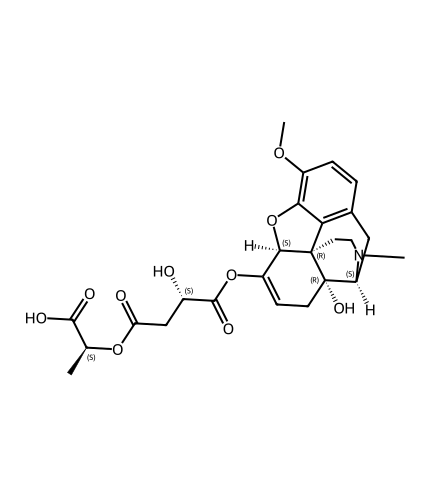 COc1ccc2c3c1O[C@@H]1C(OC(=O)[C@@H](O)CC(=O)O[C@@H](C)C(=O)O)=CC[C@]4(O)[C@H](C2)N(C)CC[C@@]314